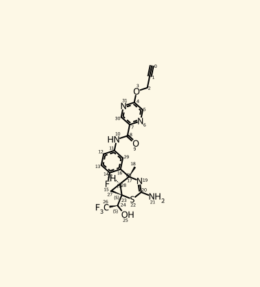 C#CCOc1cnc(C(=O)Nc2ccc(F)c([C@]3(C)N=C(N)S[C@@]4([C@@H](O)C(F)(F)F)C[C@H]43)c2)cn1